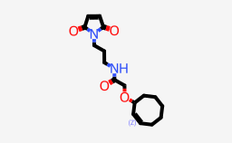 O=C(COC1/C=C\CCCCC1)NCCCN1C(=O)C=CC1=O